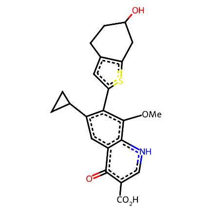 COc1c(-c2cc3c(s2)CC(O)CC3)c(C2CC2)cc2c(=O)c(C(=O)O)c[nH]c12